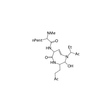 CCCCCC(NC)C(=O)NC1/C=C/N(C(CC)C(C)=O)C(O)C(CCC(C)=O)NC1=O